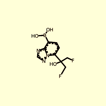 OB(O)c1ccc(C(O)(CF)CF)n2ncnc12